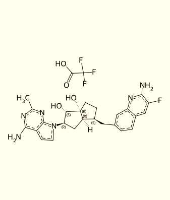 Cc1nc(N)c2ccn([C@@H]3C[C@@H]4[C@H](Cc5ccc6cc(F)c(N)nc6c5)CC[C@]4(O)[C@H]3O)c2n1.O=C(O)C(F)(F)F